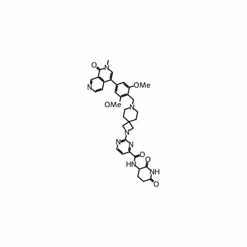 COc1cc(-c2cn(C)c(=O)c3cnccc23)cc(OC)c1CN1CCC2(CC1)CN(c1nccc(C(=O)NC3CCC(=O)NC3=O)n1)C2